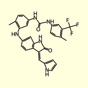 Cc1ccc(NC(=O)Nc2ccc(C)c(C(F)(F)F)c2)cc1Nc1ccc2c(c1)NC(=O)/C2=C\c1ccc[nH]1